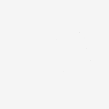 CC(C)Oc1ccc(C2=NC3(CCC(C(C)(C)C)CC3)N([C@H](CCC(C)(C)C)c3ccc(C=O)cc3)C2=O)cc1